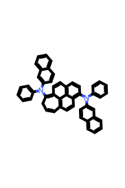 C1=Cc2ccc3c(N(c4ccccc4)c4ccc5ccccc5c4)ccc4ccc(c2c43)=C(N(c2ccccc2)c2ccc3ccccc3c2)C1